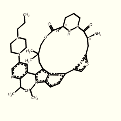 CCCN1CCN(c2cnc(C(C)C)c(-c3c4c5cc(ccc5n3CC)-c3csc(n3)C[C@H](N)C(=O)N3CCC[C@H](N3)C(=O)OCC(C)(C)C4)c2)CC1